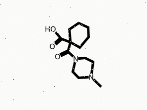 CN1CCN(C(=O)C2(C(=O)O)CCCCC2)CC1